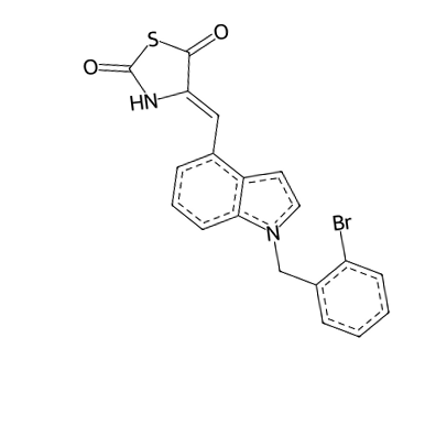 O=C1NC(=Cc2cccc3c2ccn3Cc2ccccc2Br)C(=O)S1